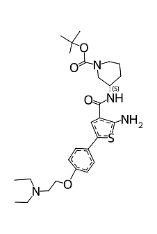 CCN(CC)CCOc1ccc(-c2cc(C(=O)N[C@H]3CCCN(C(=O)OC(C)(C)C)C3)c(N)s2)cc1